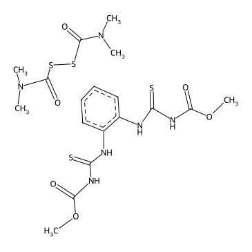 CN(C)C(=O)SSC(=O)N(C)C.COC(=O)NC(=S)Nc1ccccc1NC(=S)NC(=O)OC